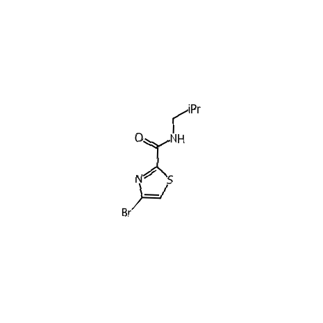 CC(C)CNC(=O)c1nc(Br)cs1